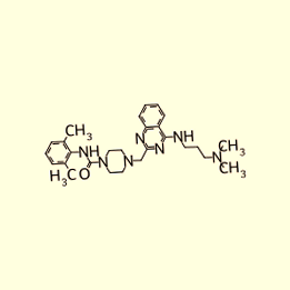 Cc1cccc(C)c1NC(=O)N1CCN(Cc2nc(NCCCN(C)C)c3ccccc3n2)CC1